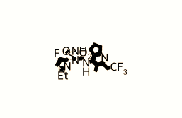 CCn1cc(F)c([S@@](N)(=O)=NC(=O)Nc2c(C)c(CC(F)(F)F)nc3c2CCC3)n1